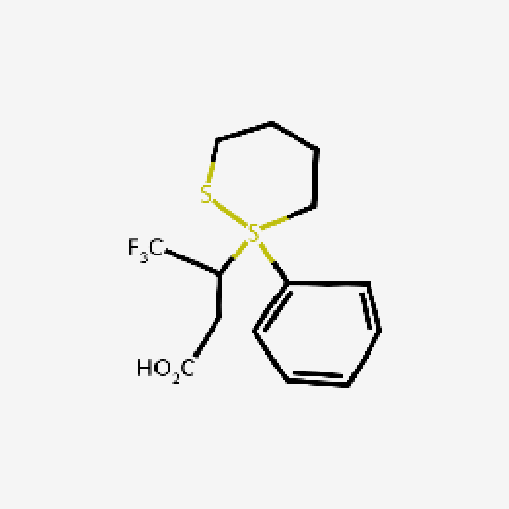 O=C(O)CC(C(F)(F)F)S1(c2ccccc2)CCCCS1